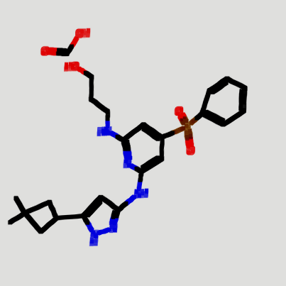 CC1(C)CC(c2cc(Nc3cc(S(=O)(=O)c4ccccc4)cc(NCCCO)n3)n[nH]2)C1.O=CO